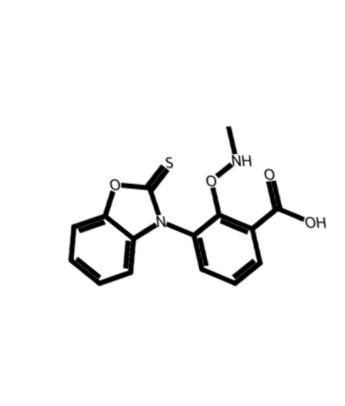 CNOc1c(C(=O)O)cccc1-n1c(=S)oc2ccccc21